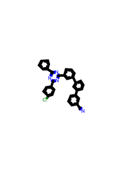 N#Cc1cccc(-c2cccc(-c3cccc(-c4nc(-c5ccccc5)nc(-c5ccc(Cl)cc5)n4)c3)c2)c1